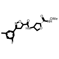 CONC(=O)[C@H]1CC(NC(=O)C2CC(c3cc(C)cc(F)c3)=NO2)CO1